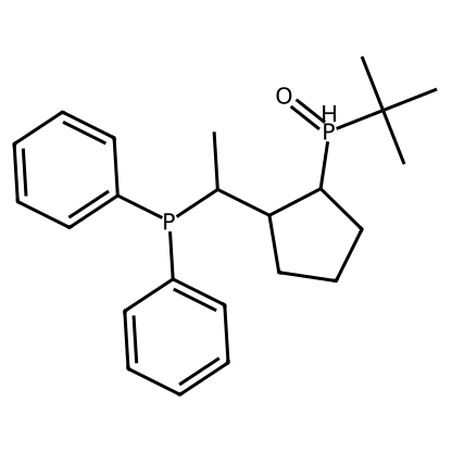 CC(C1CCCC1[PH](=O)C(C)(C)C)P(c1ccccc1)c1ccccc1